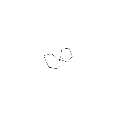 C1CC[N+]2(C1)CCCC2